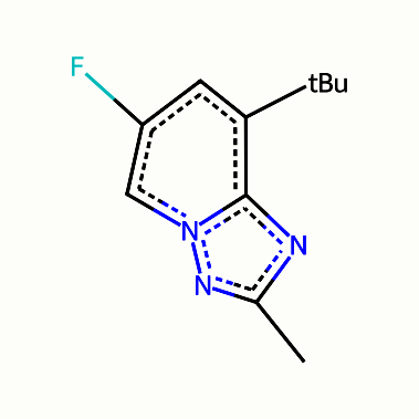 Cc1nc2c(C(C)(C)C)cc(F)cn2n1